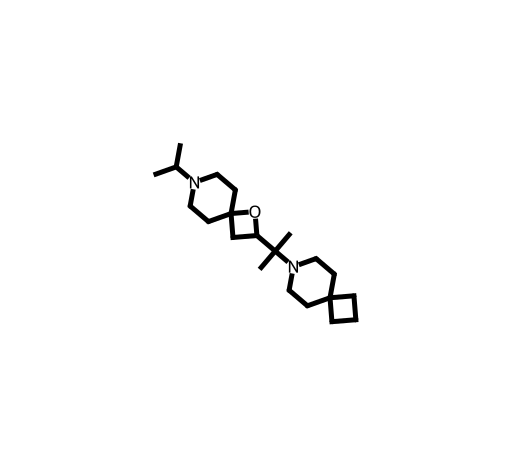 CC(C)N1CCC2(CC1)CC(C(C)(C)N1CCC3(CCC3)CC1)O2